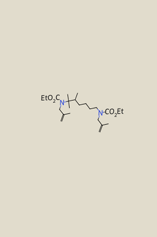 C=C(C)CN(CCCCC(C)C(C)(C)N(CC(=C)C)C(=O)OCC)C(=O)OCC